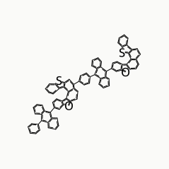 c1ccc(-c2c3ccccc3c(-c3ccc4c(c3)oc3ccc5c(-c6ccc(-c7c8ccccc8c(-c8ccc9c(c8)oc8ccc%10ccc%11c%12ccccc%12sc%11c%10c89)c8ccccc78)cc6)cc6sc7ccccc7c6c5c34)c3ccccc23)cc1